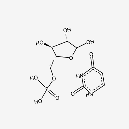 O=P(O)(O)OC[C@H]1OC(O)[C@@H](O)[C@@H]1O.O=c1cc[nH]c(=O)[nH]1